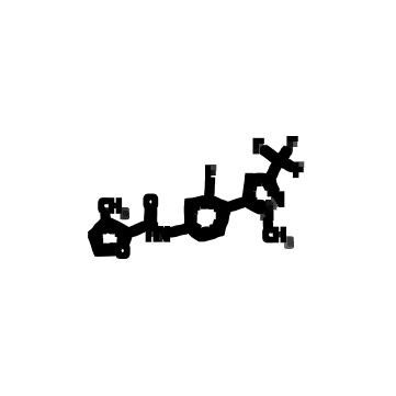 Cc1ccoc1C(=O)Nc1ccc(-c2cc(C(F)(F)F)nn2C)c(F)c1